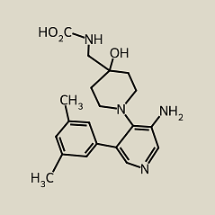 Cc1cc(C)cc(-c2cncc(N)c2N2CCC(O)(CNC(=O)O)CC2)c1